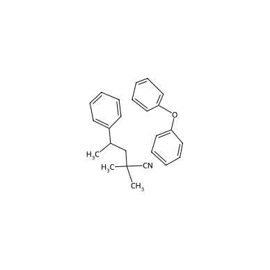 CC(CC(C)(C)C#N)c1ccccc1.c1ccc(Oc2ccccc2)cc1